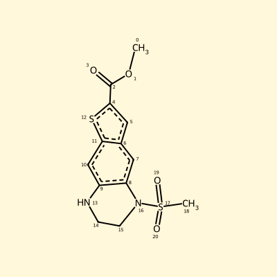 COC(=O)c1cc2cc3c(cc2s1)NCCN3S(C)(=O)=O